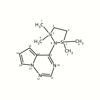 C[Si]1(C)CC[Si](C)(C)N1c1ncnn2cccc12